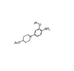 CC(=O)OC1CCN(c2ccc(N)c(OC(C)C)c2)CC1